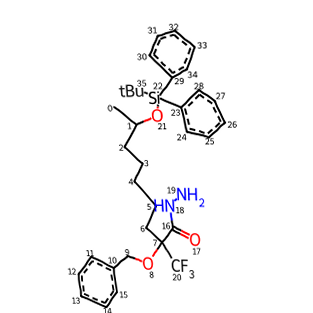 CC(CCCCCC(OCc1ccccc1)(C(=O)NN)C(F)(F)F)O[Si](c1ccccc1)(c1ccccc1)C(C)(C)C